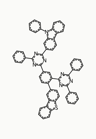 c1ccc(-c2nc(-c3ccc(-c4ccc5sc6ccccc6c5c4)c(-c4nc(-c5ccccc5)nc(-c5ccccc5)n4)c3)nc(-c3ccc4c5ccccc5n(-c5ccccc5)c4c3)n2)cc1